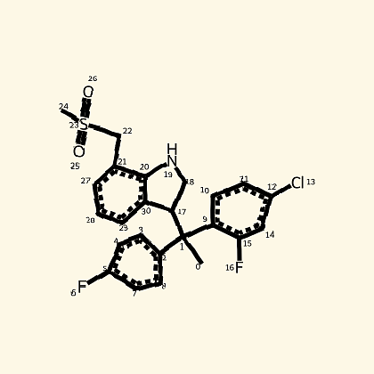 CC(c1ccc(F)cc1)(c1ccc(Cl)cc1F)C1CNc2c(CS(C)(=O)=O)cccc21